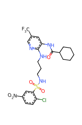 O=C(Nc1cc(C(F)(F)F)cnc1NCCCNS(=O)(=O)c1cc([N+](=O)[O-])ccc1Cl)C1CCCCC1